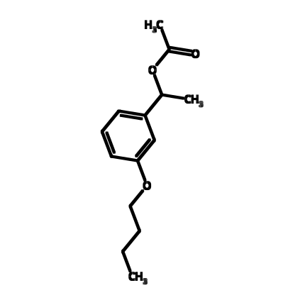 CCCCOc1cccc(C(C)OC(C)=O)c1